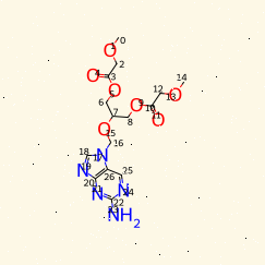 COCC(=O)OCC(COC(=O)COC)OCn1cnc2nc(N)ncc21